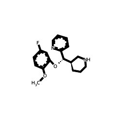 COc1ccc(F)cc1O[C@H](c1ccccn1)[C@@H]1CCCNC1